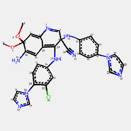 COC1(OC)C=C2N=CC(C#N)(Nc3ccc(-n4ccnc4)cc3)C(Nc3ccc(-n4ccnc4)c(Cl)c3)=C2C=C1N